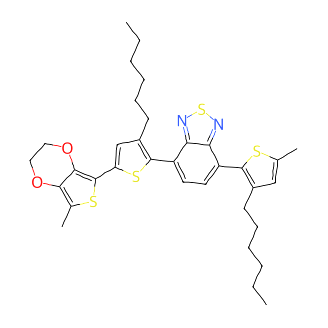 CCCCCCc1cc(C)sc1-c1ccc(-c2sc(-c3sc(C)c4c3OCCO4)cc2CCCCCC)c2nsnc12